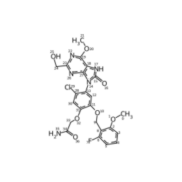 COc1cccc(F)c1COc1cc(-n2c(=O)[nH]c3c(OC)nc(CO)nc32)c(Cl)cc1OCC(N)=O